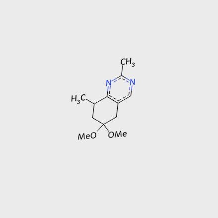 COC1(OC)Cc2cnc(C)nc2C(C)C1